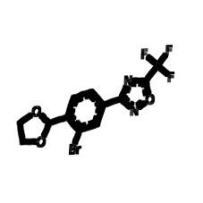 FC(F)(F)c1nc(-c2ccc(C3OCCO3)c(Br)c2)no1